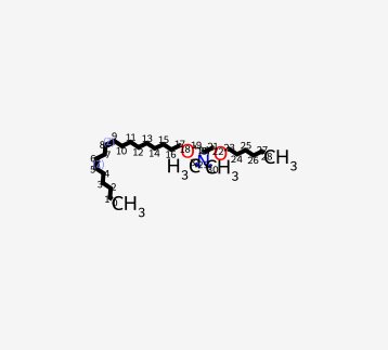 CCCCC/C=C\C/C=C\CCCCCCCCOC[C@H](COCCCCCC)N(C)C